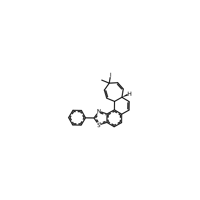 CC1(I)C=CC2c3c(ccc4sc(-c5ccccc5)nc34)C=C[C@H]2C=C1